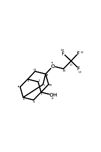 OC12CC3CC(C1)CC(OCC(F)(F)F)(C3)C2